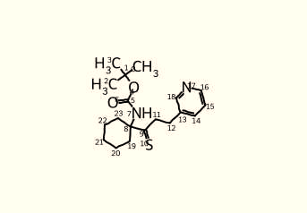 CC(C)(C)OC(=O)NC1(C(=S)CCc2cccnc2)CCCCC1